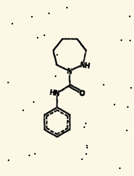 O=C(Nc1ccccc1)N1CCCCCN1